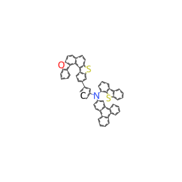 c1cc(-c2ccc3c(c2)sc2ccc4ccc5oc6ccccc6c5c4c23)cc(N(c2ccc3c4ccccc4c4ccccc4c3c2)c2cccc3c2sc2ccccc23)c1